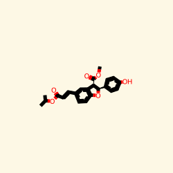 COC(=O)[C@H]1c2cc(/C=C/C(=O)OC(C)C)ccc2O[C@@H]1c1ccc(O)cc1